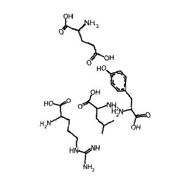 CC(C)CC(N)C(=O)O.N=C(N)NCCCC(N)C(=O)O.NC(CCC(=O)O)C(=O)O.NC(Cc1ccc(O)cc1)C(=O)O